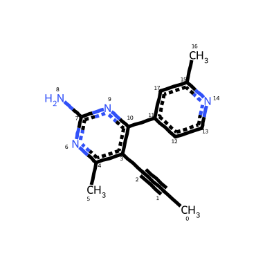 CC#Cc1c(C)nc(N)nc1-c1ccnc(C)c1